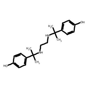 CC(C)(NCCNC(C)(C)c1ccc(O)cc1)c1ccc(O)cc1